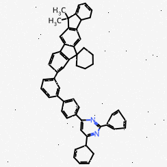 CC1(C)C2=CC=CCC2c2cc3c(cc21)-c1ccc(-c2cccc(-c4ccc(-c5cc(C6C=CC=CC6)nc(-c6ccccc6)n5)cc4)c2)cc1C31CCCCC1